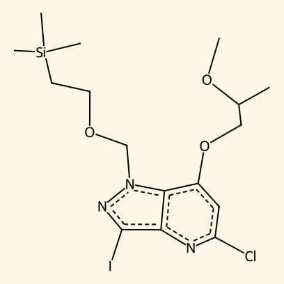 COC(C)COc1cc(Cl)nc2c(I)nn(COCC[Si](C)(C)C)c12